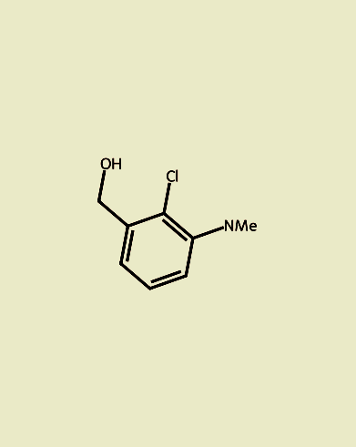 CNc1cccc(CO)c1Cl